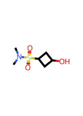 CN(C)S(=O)(=O)C1CC(O)C1